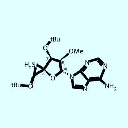 CO[C@H]1[C@H](n2cnc3c(N)ncnc32)O[C@@]2([SiH2]C2OC(C)(C)C)[C@H]1OC(C)(C)C